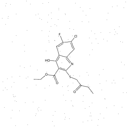 CCOC(=O)c1c(SCC(=O)CC)nc2cc(Cl)c(F)cc2c1O